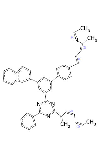 C=C(/C=C\C=C/C)c1nc(-c2ccccc2)nc(-c2cc(-c3ccc(/C=C/C=C(C)\N=C/C)cc3)cc(-c3ccc4ccccc4c3)c2)n1